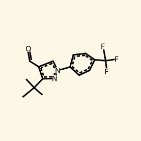 CC(C)(C)c1nn(-c2ccc(C(F)(F)F)cc2)cc1C=O